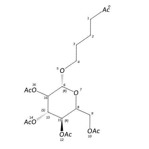 CC(=O)CCCCO[C@@H]1OC(COC(C)=O)[C@@H](OC(C)=O)[C@H](OC(C)=O)C1OC(C)=O